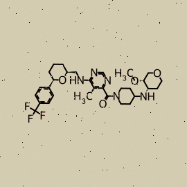 CO[C@@H]1COCC[C@@H]1NC1CCN(C(=O)c2ncnc(NC[C@@H]3CCC[C@H](c4ccc(C(F)(F)F)cc4)O3)c2C)CC1